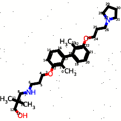 Cc1c(OCCCNCC(C)(C)CO)cccc1-c1cccc(OCCCN2CCCC2)c1C